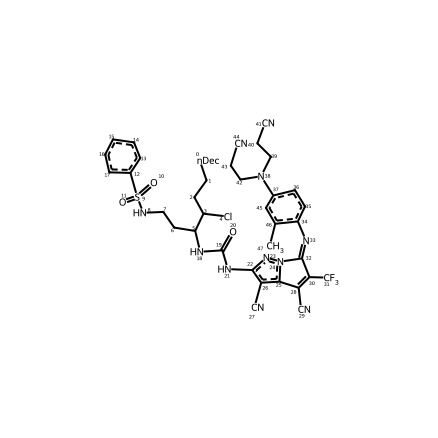 CCCCCCCCCCCCC(Cl)C(CCNS(=O)(=O)c1ccccc1)NC(=O)Nc1nn2c(c1C#N)C(C#N)=C(C(F)(F)F)C2=Nc1ccc(N(CCC#N)CCC#N)cc1C